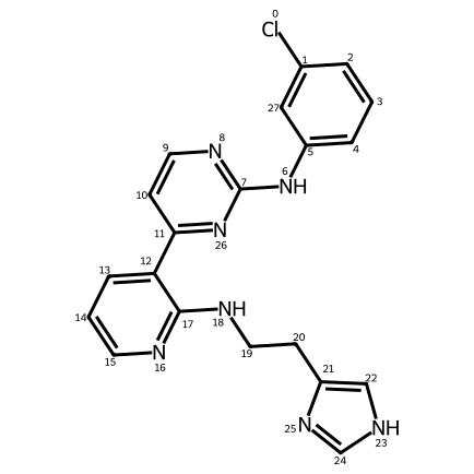 Clc1cccc(Nc2nccc(-c3cccnc3NCCc3c[nH]cn3)n2)c1